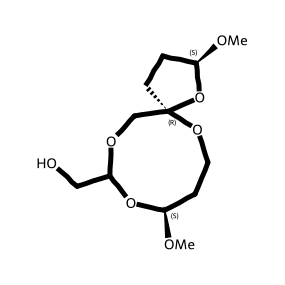 CO[C@@H]1CCO[C@@]2(CC[C@@H](OC)O2)COC(CO)O1